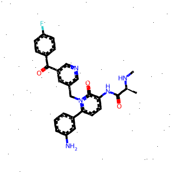 CN[C@@H](C)C(=O)Nc1ccc(-c2cccc(N)c2)n(Cc2cncc(C(=O)c3ccc(F)cc3)c2)c1=O